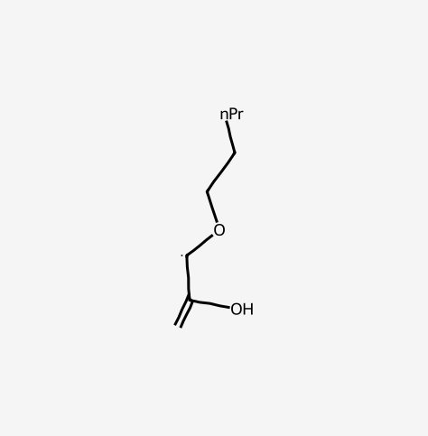 C=C(O)[CH]OCCCCC